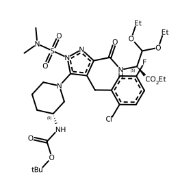 CCOC(=O)[C@@H](NC(=O)c1nn(S(=O)(=O)N(C)C)c(N2CCC[C@@H](NC(=O)OC(C)(C)C)C2)c1Cc1cc(F)ccc1Cl)C(OCC)OCC